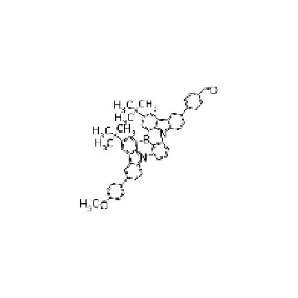 COc1ccc(-c2ccc3c(c2)c2cc(C(C)(C)C)cc4c2n3-c2cccc3c2B4c2cc(C(C)(C)C)cc4c5cc(-c6ccc(C=O)cc6)ccc5n-3c24)cc1